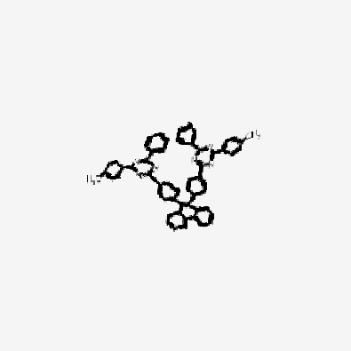 Cc1ccc(-c2nc(-c3ccccc3)nc(-c3ccc(-c4c(-c5ccc(-c6nc(-c7ccccc7)nc(-c7ccc(C)cc7)n6)cc5)c5ccccc5c5ccccc45)cc3)n2)cc1